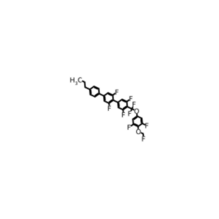 CCCc1ccc(-c2cc(F)c(-c3cc(F)c(C(F)(F)Oc4cc(F)c(OCF)c(F)c4)c(F)c3)c(F)c2)cc1